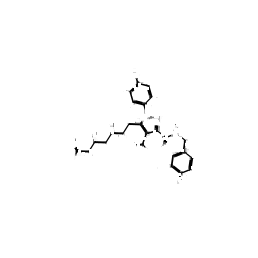 CC(C)c1c(C(=O)N(C)Cc2ccc(F)cc2)nn(-c2ccc(F)cc2)c1CC[C@@H](O)C[C@@H](O)CC(=O)O